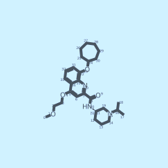 COCCOc1cc(C(=O)N[C@H]2CCCN(C(C)C)C2)nc2c(OC3CCCCCC3)cccc12